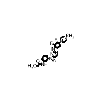 C=CC(=O)Nc1cccc(-n2cnc3cnc(Nc4ccc(N5CCN(C)CC5)c(F)c4F)nc32)c1